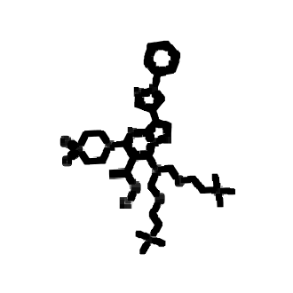 C=C(OCC)c1c(N2CCS(=O)(=O)CC2)nc2c(-c3cnn(-c4ccccc4)c3)cnn2c1N(COCC[Si](C)(C)C)COCC[Si](C)(C)C